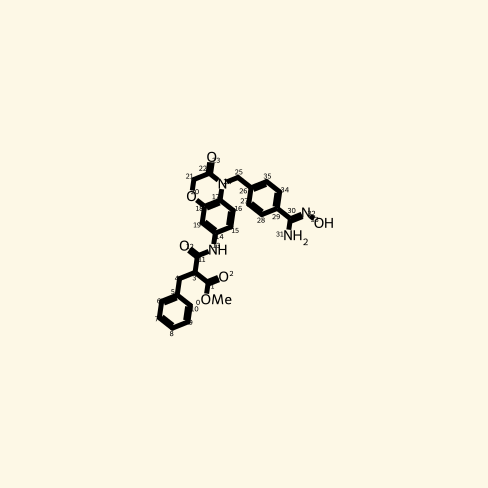 COC(=O)C(Cc1ccccc1)C(=O)Nc1ccc2c(c1)OCC(=O)N2Cc1ccc(C(N)=NO)cc1